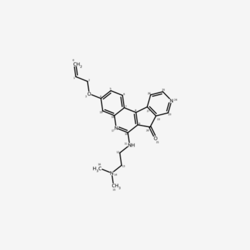 C=CCOc1ccc2c3c(c(NCCN(C)C)nc2c1)C(=O)c1cnccc1-3